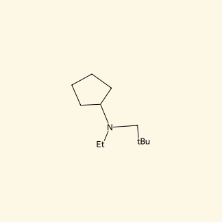 CCN(CC(C)(C)C)C1CCCC1